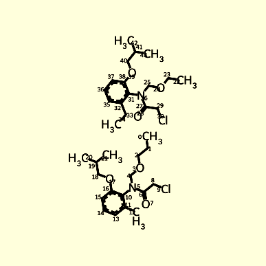 CCCOCN(C(=O)CCl)c1c(C)cccc1OCC(C)C.CCOCN(C(=O)CCl)c1c(CC)cccc1OCC(C)C